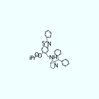 CC(C)OOc1cc2sc(-c3ccccc3)nc2cc1CNC1C2CCN(C2)C1C(c1ccccc1)c1ccccc1